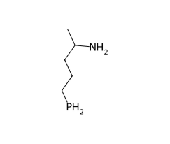 CC(N)CCCP